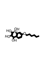 CCCCCCOc1ccc2c(c1)[N+](O)C(O)=C(O)C2O